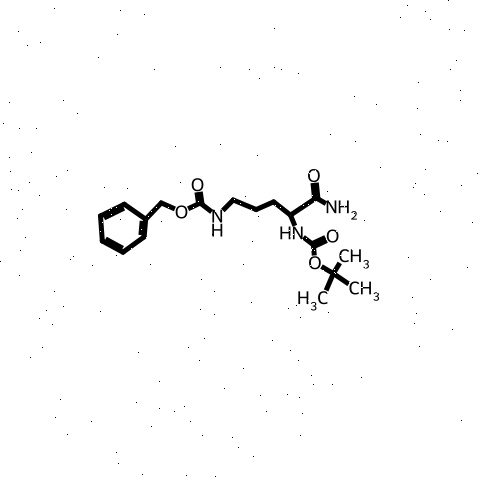 CC(C)(C)OC(=O)NC(CCCNC(=O)OCc1ccccc1)C(N)=O